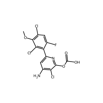 COc1c(Cl)cc(F)c(-c2cc(N)c(Cl)c(OC(=O)O)n2)c1Cl